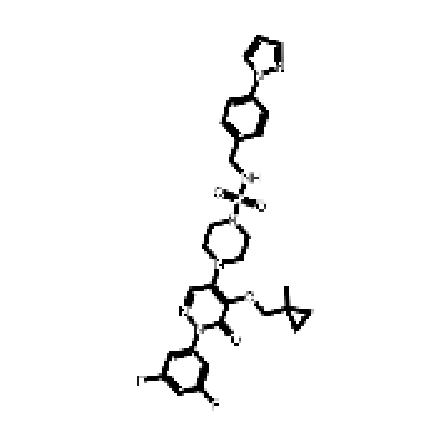 CC1(COc2c(N3CCN(S(=O)(=O)NCc4ccc(-n5cccn5)cc4)CC3)cnn(-c3cc(F)cc(F)c3)c2=O)CC1